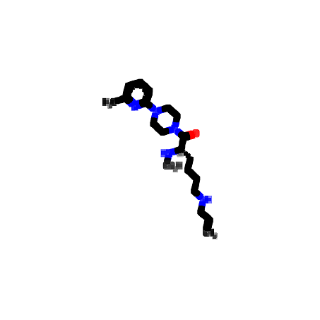 C=CCNCCCC[C@H](NC(=O)O)C(=O)N1CCN(c2cccc(C)n2)CC1